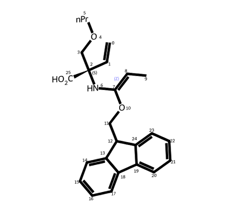 C=C[C@@](COCCC)(N/C(=C/C)OCC1c2ccccc2-c2ccccc21)C(=O)O